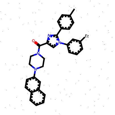 CCc1cccc(-n2cc(C(=O)N3CCN(c4ccc5ccccc5c4)CC3)nc2-c2ccc(C)cc2)c1